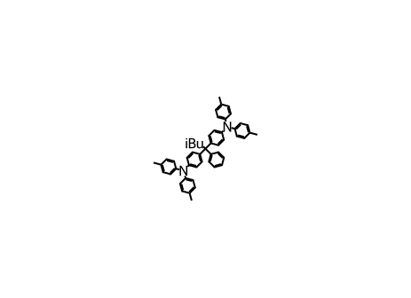 CCC(C)C(c1ccccc1)(c1ccc(N(c2ccc(C)cc2)c2ccc(C)cc2)cc1)c1ccc(N(c2ccc(C)cc2)c2ccc(C)cc2)cc1